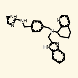 c1cnc2c(c1)CCCC2N(Cc1ccc(CNc2ncc[nH]2)cc1)Cc1nc2ccccc2[nH]1